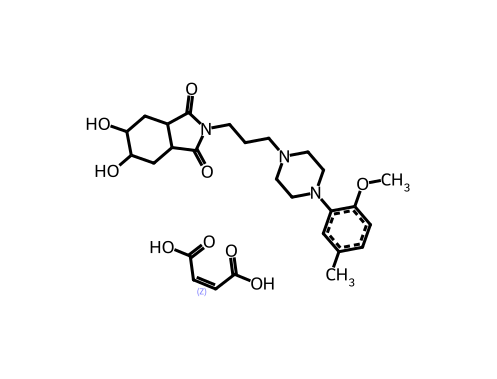 COc1ccc(C)cc1N1CCN(CCCN2C(=O)C3CC(O)C(O)CC3C2=O)CC1.O=C(O)/C=C\C(=O)O